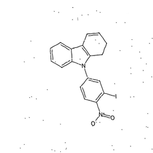 O=[N+]([O-])c1ccc(-n2c3c(c4ccccc42)C=CCC3)cc1I